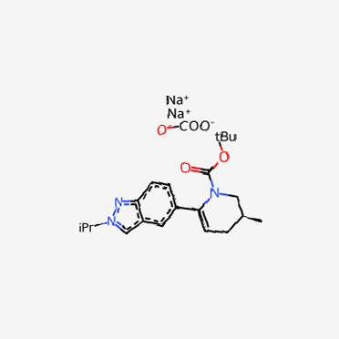 CC(C)n1cc2cc(C3=CC[C@H](C)CN3C(=O)OC(C)(C)C)ccc2n1.O=C([O-])[O-].[Na+].[Na+]